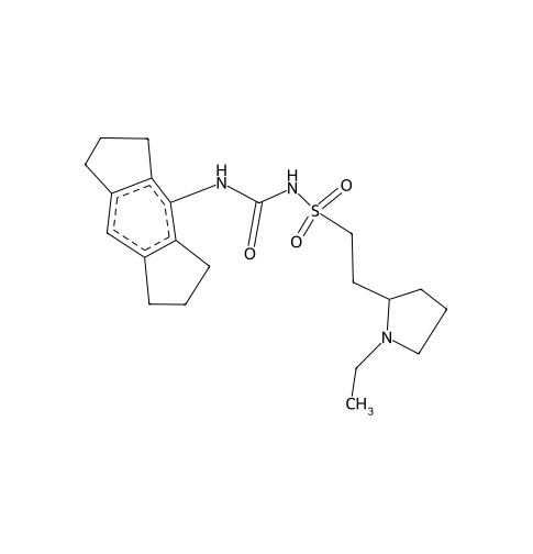 CCN1CCCC1CCS(=O)(=O)NC(=O)Nc1c2c(cc3c1CCC3)CCC2